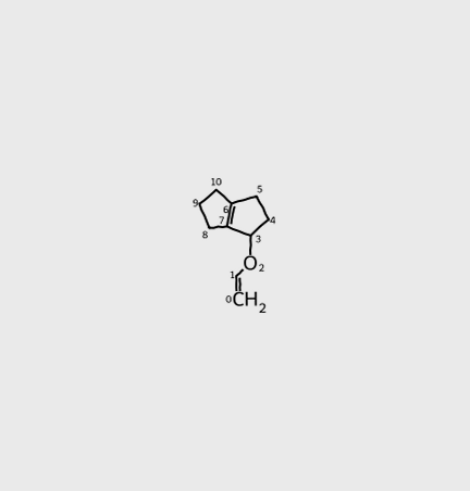 C=COC1CCC2=C1CCC2